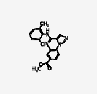 COC(=O)c1ccc2c(c1)nc(Nc1c(C)cccc1Cl)c1cncn12